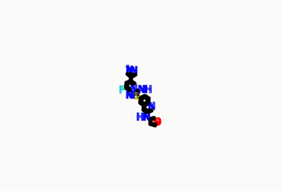 Cn1cc(-c2cc(F)c(=N)n(C(=N)Sc3ccc4ncc(NC5CCOC5)cc4c3)c2)cn1